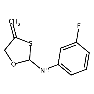 C=C1COC([N+]c2cccc(F)c2)S1